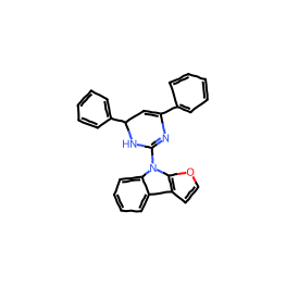 C1=C(c2ccccc2)N=C(n2c3ccccc3c3ccoc32)NC1c1ccccc1